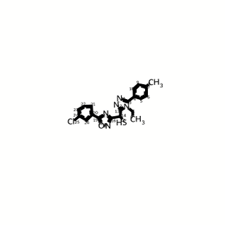 CCn1c(-c2ccc(C)cc2)nnc1C(S)c1noc(-c2cccc(Cl)c2)n1